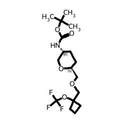 CC(C)(C)OC(=O)N[C@@H]1CC[C@@H](COCC2(OC(F)(F)F)CCC2)OC1